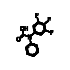 O=C(O)N(c1ccccc1)c1cc(F)c(F)c(F)c1